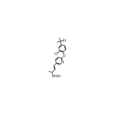 CCC(C)(C)c1ccc(Oc2ccc(/C=C/[C@H](C)NC(C)=O)cn2)c(Cl)c1